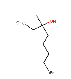 CC(C)CCCCC(C)(O)CC=O